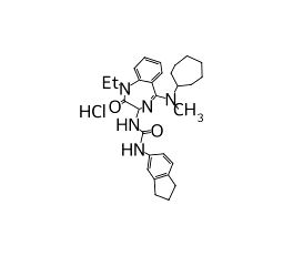 CCN1C(=O)C(NC(=O)Nc2ccc3c(c2)CCC3)N=C(N(C)C2CCCCCC2)c2ccccc21.Cl